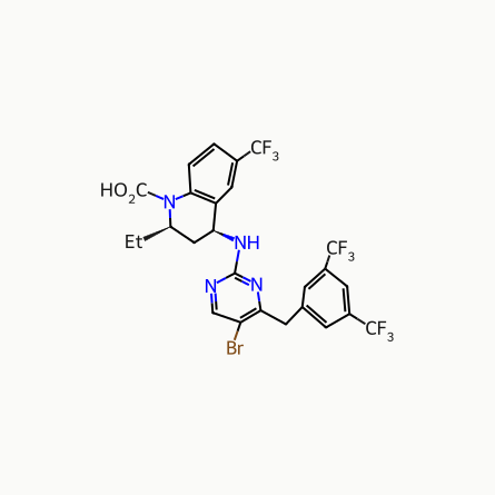 CC[C@@H]1C[C@H](Nc2ncc(Br)c(Cc3cc(C(F)(F)F)cc(C(F)(F)F)c3)n2)c2cc(C(F)(F)F)ccc2N1C(=O)O